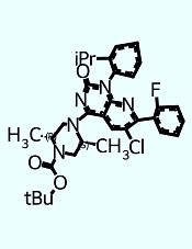 CC(C)c1ccccc1-n1c(=O)nc(N2C[C@@H](C)N(C(=O)OC(C)(C)C)C[C@@H]2C)c2cc(Cl)c(-c3ccccc3F)nc21